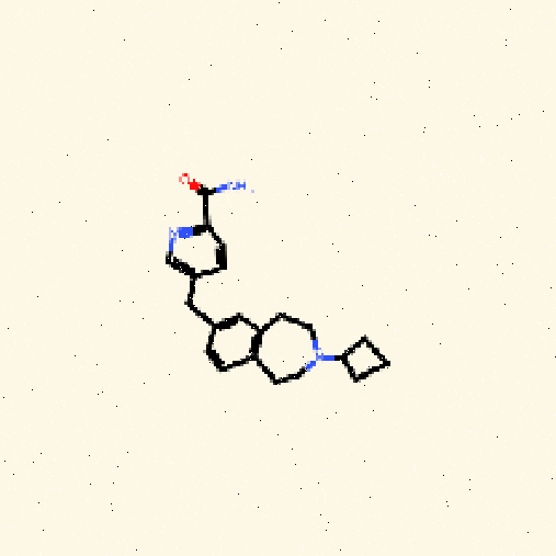 NC(=O)c1ccc(Cc2ccc3c(c2)CCN(C2CCC2)CC3)cn1